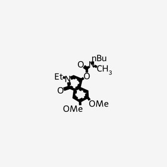 CCCCN(C)C(=O)Oc1cn(CC)c(=O)c2cc(OC)c(OC)cc12